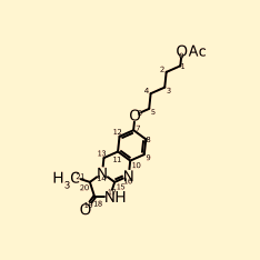 CC(=O)OCCCCCOc1ccc2c(c1)CN1C(=N2)NC(=O)C1C